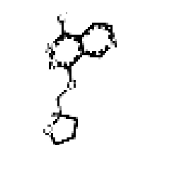 Clc1nnc(OC[C@H]2CCCO2)c2cnccc12